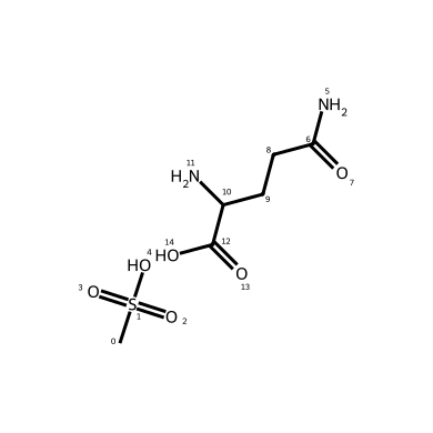 CS(=O)(=O)O.NC(=O)CCC(N)C(=O)O